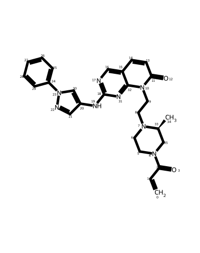 C=CC(=O)N1CCN(CCn2c(=O)ccc3cnc(Nc4cnn(-c5ccccc5)c4)nc32)[C@@H](C)C1